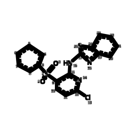 O=S(=O)(c1ccccc1)c1ccc(Cl)nc1Nc1nc2ccccc2s1